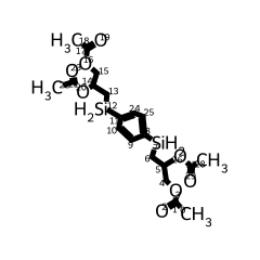 CC(=O)OCC(C[SiH2]c1ccc([SiH2]CC(COC(C)=O)OC(C)=O)cc1)OC(C)=O